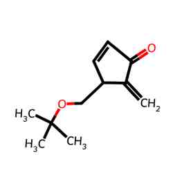 C=C1C(=O)C=CC1COC(C)(C)C